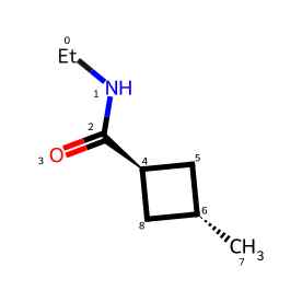 CCNC(=O)[C@H]1C[C@H](C)C1